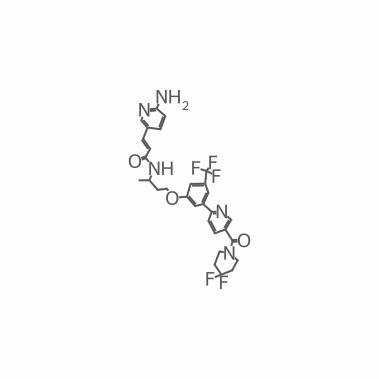 CC(CCOc1cc(-c2ccc(C(=O)N3CCC(F)(F)CC3)cn2)cc(C(F)(F)F)c1)NC(=O)/C=C/c1ccc(N)nc1